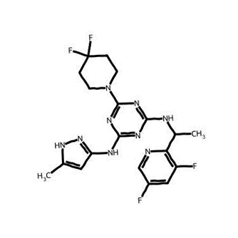 Cc1cc(Nc2nc(NC(C)c3ncc(F)cc3F)nc(N3CCC(F)(F)CC3)n2)n[nH]1